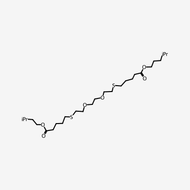 CC(C)CCCOC(=O)CCCCSCCOCCOCCSCCCCC(=O)OCCC(C)C